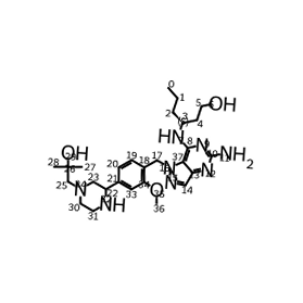 CCC[C@@H](CCO)Nc1nc(N)nc2cnn(Cc3ccc(C4CN(CC(C)(C)O)CCN4)cc3OC)c12